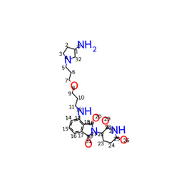 NC1CCN(CCCOCCCNc2cccc3c2C(=O)N(C2CCC(=O)NC2=O)C3=O)C1